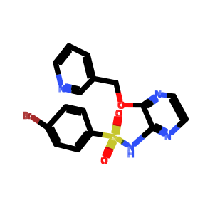 O=S(=O)(Nc1nccnc1OCc1cccnc1)c1ccc(Br)cc1